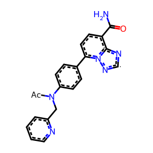 CC(=O)N(Cc1ccccn1)c1ccc(-c2ccc(C(N)=O)c3n[c]nn23)cc1